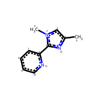 Cc1cn(C)c(-c2ccccn2)n1